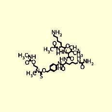 CNC(=O)OCCN(C)C(=S)OCc1ccc(NC(=O)C(CCCNC(N)=O)NC(=O)C(NC(=O)C(CCCCN)NC(C)=O)C(C)C)cc1